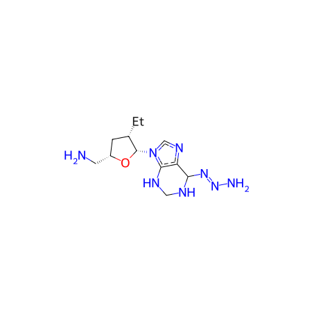 CC[C@H]1C[C@@H](CN)O[C@H]1n1cnc2c1NCNC2N=NN